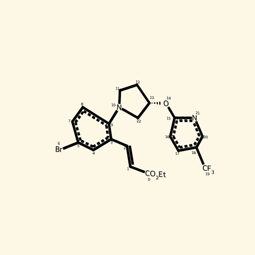 CCOC(=O)/C=C/c1cc(Br)ccc1N1CC[C@H](Oc2ccc(C(F)(F)F)cn2)C1